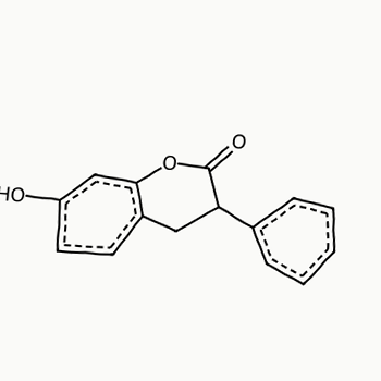 O=C1Oc2cc(O)ccc2CC1c1ccccc1